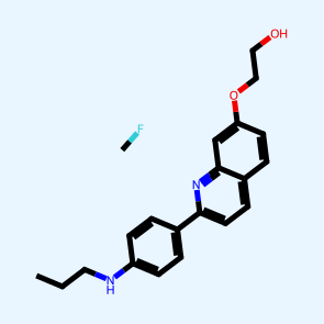 CCCNc1ccc(-c2ccc3ccc(OCCO)cc3n2)cc1.CF